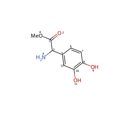 COC(=O)C(N)c1ccc(O)c(O)c1